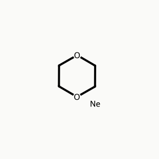 C1COCCO1.[Ne]